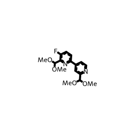 COC(OC)c1cc(-c2ccc(F)c(C(OC)OC)n2)ccn1